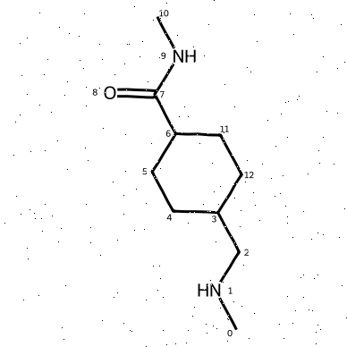 CNCC1CCC(C(=O)NC)CC1